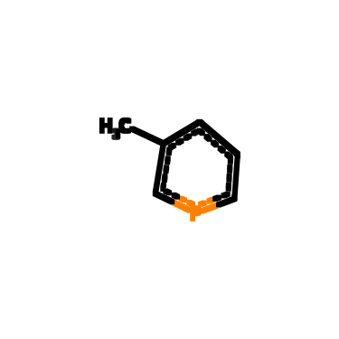 Cc1cccpc1